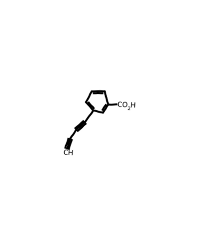 C#CC#Cc1cccc(C(=O)O)c1